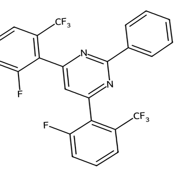 Fc1cccc(C(F)(F)F)c1-c1cc(-c2c(F)cccc2C(F)(F)F)nc(-c2ccccc2)n1